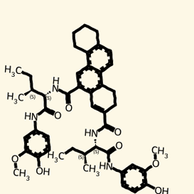 CC[C@H](C)[C@H](NC(=O)C1=Cc2c(C(=O)N[C@H](C(=O)Nc3ccc(O)c(OC)c3)[C@@H](C)CC)cc3c4c(ccc3c2CC1)CCCC4)C(=O)Nc1ccc(O)c(OC)c1